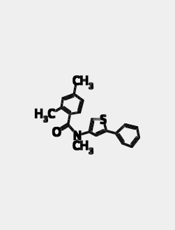 Cc1ccc(C(=O)N(C)c2csc(-c3ccccc3)c2)c(C)c1